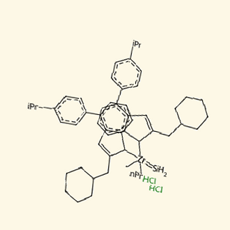 CC[CH2][Zr]([CH3])(=[SiH2])([CH]1C(CC2CCCCC2)=Cc2c(-c3ccc(C(C)C)cc3)cccc21)[CH]1C(CC2CCCCC2)=Cc2c(-c3ccc(C(C)C)cc3)cccc21.Cl.Cl